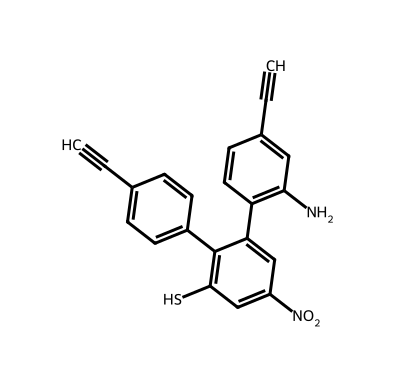 C#Cc1ccc(-c2c(S)cc([N+](=O)[O-])cc2-c2ccc(C#C)cc2N)cc1